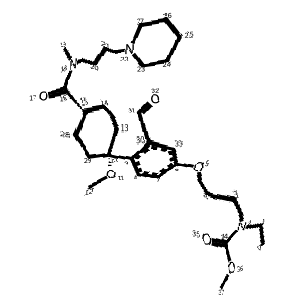 CCN(CCOc1ccc([C@]2(OC)CC[C@H](C(=O)N(C)CCN3CCCCC3)CC2)c(C=O)c1)C(=O)OC